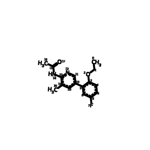 CCOc1ccc(F)cc1-c1cnc(NC(C)=O)c(C)c1